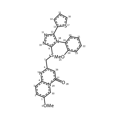 COc1ccc2nc(CSc3nnc(-c4cccs4)n3-c3ccccc3OC)cc(=O)n2c1